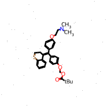 CN(C)CCOc1ccc(C(=C2CCSc3ccccc32)c2ccc(OCOC(=O)C(C)(C)C)cc2)cc1